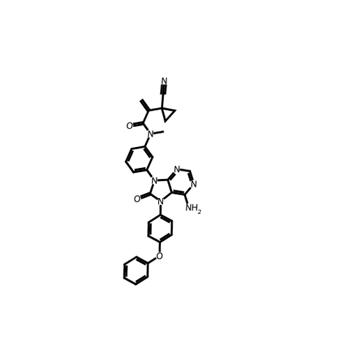 C=C(C(=O)N(C)c1cccc(-n2c(=O)n(-c3ccc(Oc4ccccc4)cc3)c3c(N)ncnc32)c1)C1(C#N)CC1